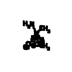 CCCCN(CCCCN)C(=O)CN1C[C@H](c2ccc3c(c2)CCO3)[C@@H](C(=O)O)[C@@H]1CCc1nccn1C